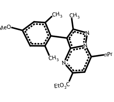 CCCc1cc(C(=O)OCC)nc2c(-c3c(C)cc(OC)cc3C)c(C)nn12